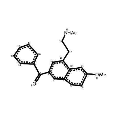 COc1ccc2cc(C(=O)c3ccccc3)cc(CCNC(C)=O)c2c1